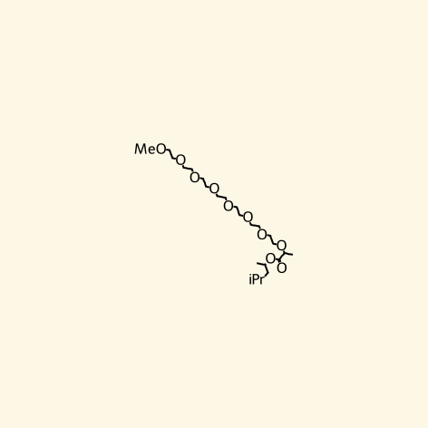 COCCOCCOCCOCCOCCOCCOCCOC(C)C(=O)OC(C)CC(C)C